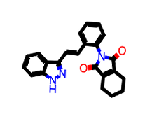 O=C1C2=C(CCCC2)C(=O)N1c1ccccc1C=Cc1n[nH]c2ccccc12